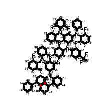 Fc1cccc(F)c1N(c1ccccc1)c1cc2c3c(c1)N(c1c(F)cccc1F)c1ccccc1B3c1cc3c(cc1N2c1ccc(C(F)(F)F)cc1)Sc1cc(N(c2ccc(-c4ccccc4)cc2)c2ccccc2-c2ccccc2)cc2c1B3c1ccccc1N2c1c(F)cccc1F